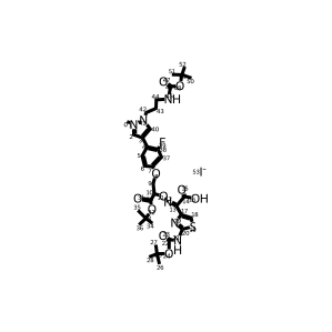 C[n+]1cc(-c2ccc(OCC(ON=C(C(=O)O)c3csc(NC(=O)OC(C)(C)C)n3)C(=O)OC(C)(C)C)cc2F)cn1CCCNC(=O)OC(C)(C)C.[I-]